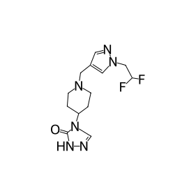 O=c1[nH]ncn1C1CCN(Cc2cnn(CC(F)F)c2)CC1